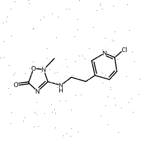 Cn1oc(=O)nc1NCCc1ccc(Cl)nc1